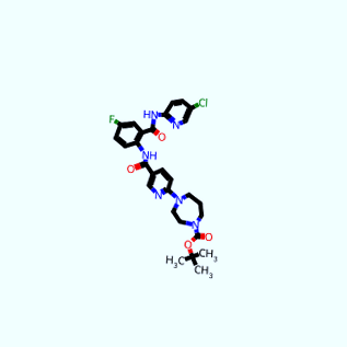 CC(C)(C)OC(=O)N1CCCN(c2ccc(C(=O)Nc3ccc(F)cc3C(=O)Nc3ccc(Cl)cn3)cn2)CC1